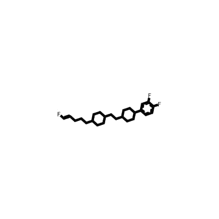 FC=CCCCC1CCC(CCC2CCC(c3ccc(F)c(F)c3)CC2)CC1